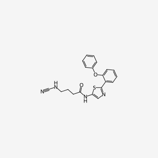 N#CNCCCC(=O)Nc1cnc(-c2ccccc2Oc2ccccc2)s1